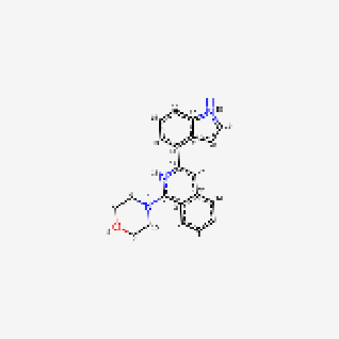 c1ccc2c(N3CCOCC3)nc(-c3cccc4[nH]ccc34)cc2c1